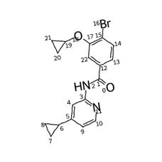 O=C(Nc1cc(C2CC2)ccn1)c1ccc(Br)c(OC2CC2)c1